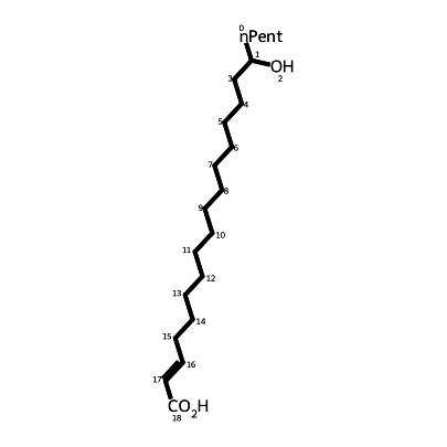 CCCCCC(O)CCCCCCCCCCCCCC=CC(=O)O